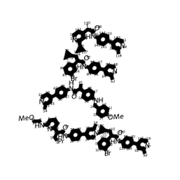 COCCNc1cccc(C(CC(C)C)C(=O)Nc2ccc(-c3ccnc(C)c3)cc2)n1.COc1ccc(CNc2ccc(C(C)C(=O)Nc3ccc(-c4ccnc(C)c4)cc3)cc2)cc1.Cc1cc(-c2ccc(NC(=O)C(CC3CC3)c3cccc(Br)c3)cc2)ccn1.Cc1cc(-c2ccc(NC(=O)C(CC3CC3)c3cccc(Br)c3)cc2)ccn1.Cc1cc(-c2ccc(NC(=O)[C@@H](C)c3ccnc(C4CC4)c3)cc2)ccn1